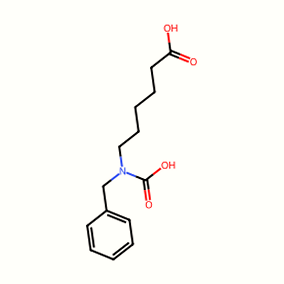 O=C(O)CCCCCN(Cc1ccccc1)C(=O)O